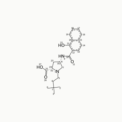 CC(C)(C)CCN1C[C@@H](NC(=O)c2ccc3ccccc3c2O)C[C@H]1C(=O)O